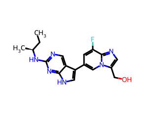 CC[C@H](C)Nc1ncc2c(-c3cc(F)c4ncc(CO)n4c3)c[nH]c2n1